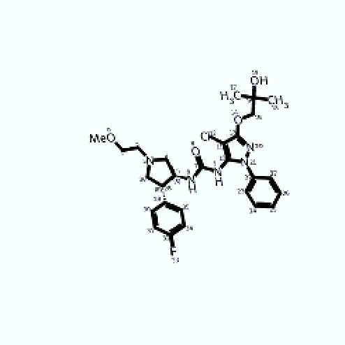 COCCN1C[C@@H](NC(=O)Nc2c(Cl)c(OCC(C)(C)O)nn2-c2ccccc2)[C@H](c2ccc(F)cc2)C1